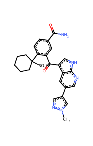 Cn1cc(-c2cnc3[nH]cc(C(=O)c4cc(C(N)=O)ccc4C4(S(=O)(=O)O)CCCCC4)c3c2)cn1